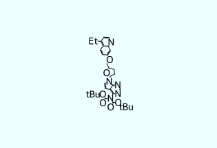 CCc1ccnc2cc(OCC3CCC(n4ccc5c(N(C(=O)OC(C)(C)C)C(=O)OC(C)(C)C)ncnc54)O3)ccc12